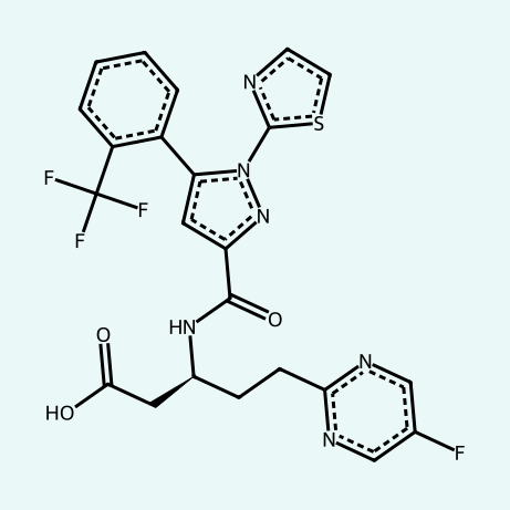 O=C(O)C[C@H](CCc1ncc(F)cn1)NC(=O)c1cc(-c2ccccc2C(F)(F)F)n(-c2nccs2)n1